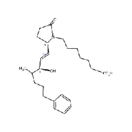 CC(CCCc1ccccc1)[C@H](O)/C=C/[C@H]1CCC(=O)N1CCCCCCC(=O)O